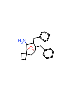 NC1C(Cc2ccccc2)C(Cc2ccccc2)C2CC3(CCC3)C1O2